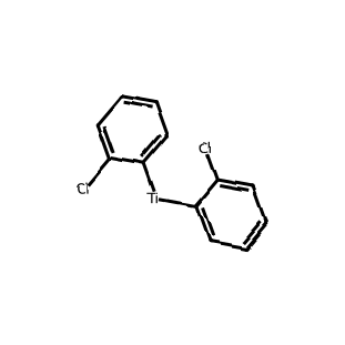 Clc1cccc[c]1[Ti][c]1ccccc1Cl